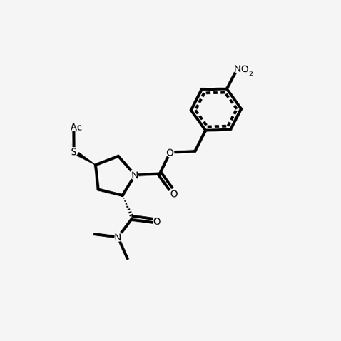 CC(=O)S[C@@H]1C[C@@H](C(=O)N(C)C)N(C(=O)OCc2ccc([N+](=O)[O-])cc2)C1